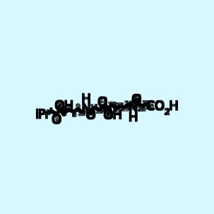 CC(C)CC(=O)N(O)CCCCCNC(=O)CCC(=O)N(O)CCCCCNC(=O)CCC(=O)O